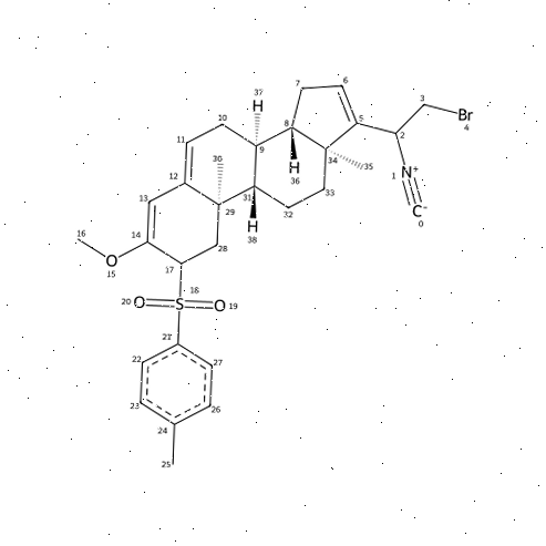 [C-]#[N+]C(CBr)C1=CC[C@H]2[C@@H]3CC=C4C=C(OC)C(S(=O)(=O)c5ccc(C)cc5)C[C@]4(C)[C@H]3CC[C@]12C